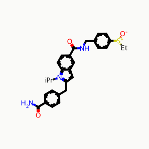 CC[S+]([O-])c1ccc(CNC(=O)c2ccc3c(c2)cc(Cc2ccc(C(N)=O)cc2)n3C(C)C)cc1